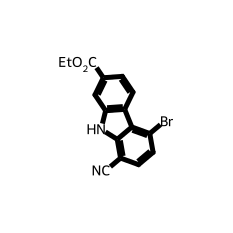 CCOC(=O)c1ccc2c(c1)[nH]c1c(C#N)ccc(Br)c12